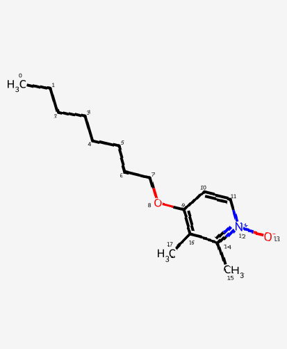 CCCCCCCCOc1cc[n+]([O-])c(C)c1C